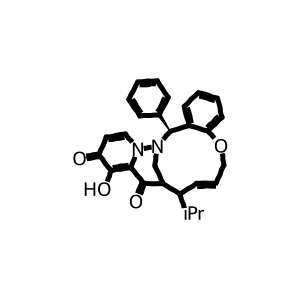 CC(C)C1/C=C/COc2ccccc2[C@H](c2ccccc2)N2CC1C(=O)c1c(O)c(=O)ccn12